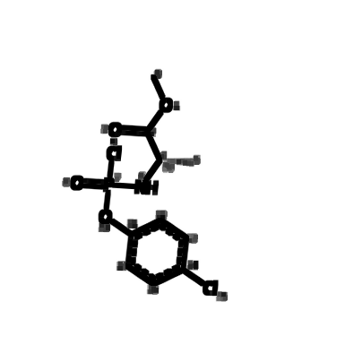 COC(=O)[C@H](C)NP(=O)(Cl)Oc1ccc(Cl)cc1